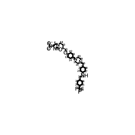 O=[N+]([O-])c1cn2c(n1)O[C@H](COc1ccc(N3CCN(Cc4ccc(NCc5ccc(C(F)(F)F)cc5)cc4)CC3)cc1)CC2